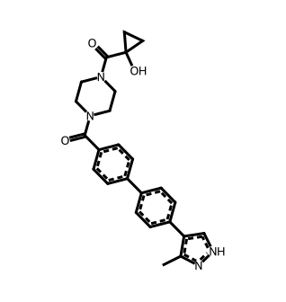 Cc1n[nH]cc1-c1ccc(-c2ccc(C(=O)N3CCN(C(=O)C4(O)CC4)CC3)cc2)cc1